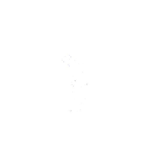 COC(O)c1cc2c(C(C)C)c(C3=CN4N=CNC4C(C)=C3)[nH]c2s1